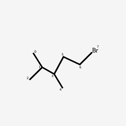 CC(C)C(C)CCBr